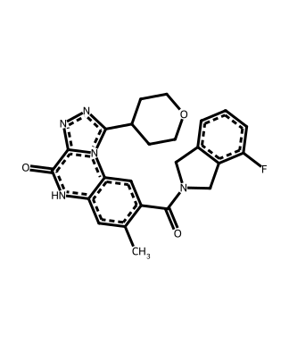 Cc1cc2[nH]c(=O)c3nnc(C4CCOCC4)n3c2cc1C(=O)N1Cc2cccc(F)c2C1